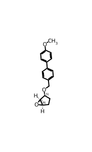 COc1ccc(-c2ccc(CO[C@H]3CC[C@H]4O[C@@H]34)cc2)cc1